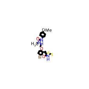 COc1ccc(NC(=O)N(C)CCOc2ccc(Br)cc2C=C2SC(=S)NC2=O)cc1